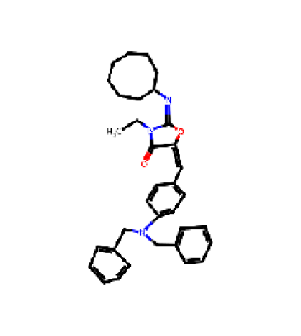 CCN1C(=O)/C(=C\c2ccc(N(Cc3ccccc3)Cc3ccccc3)cc2)O/C1=N/C1CCCCCCC1